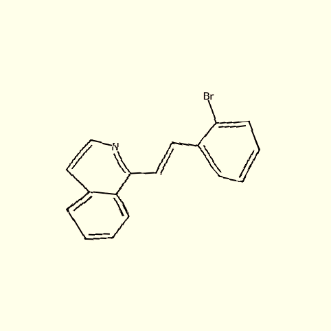 Brc1ccccc1/C=C/c1nccc2ccccc12